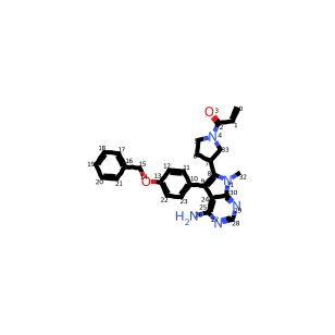 C=CC(=O)N1CCC(c2c(-c3ccc(OCc4ccccc4)cc3)c3c(N)ncnc3n2C)C1